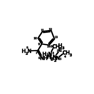 CN.CN.CN.N=C(N)c1ccccc1